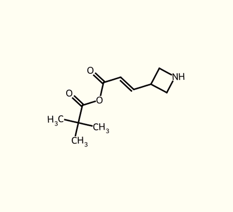 CC(C)(C)C(=O)OC(=O)/C=C/C1CNC1